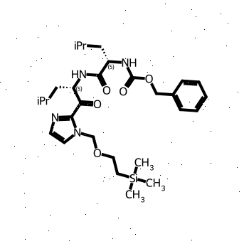 CC(C)C[C@H](NC(=O)OCc1ccccc1)C(=O)N[C@@H](CC(C)C)C(=O)c1nccn1COCC[Si](C)(C)C